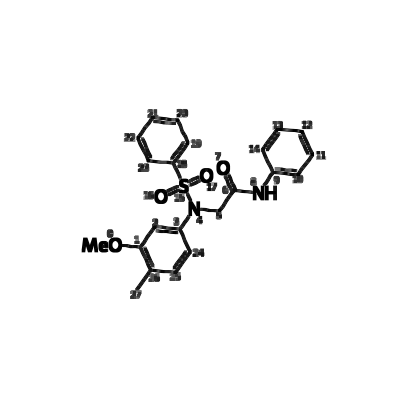 COc1cc(N(CC(=O)Nc2ccccc2)S(=O)(=O)c2ccccc2)ccc1C